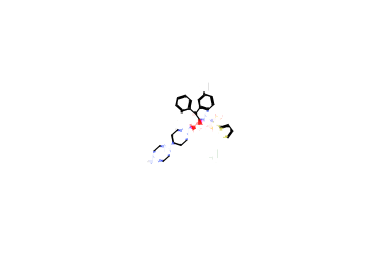 Cc1ccc2c(c1)C(OC(=O)N1CCC(N3CCN(C)CC3)CC1)(c1ccccc1C)C(=O)N2S(=O)(=O)c1cccs1.Cl.Cl